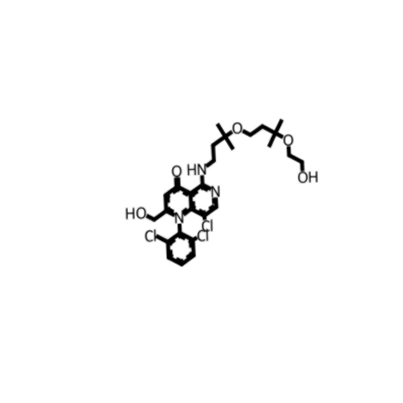 CC(C)(CCNc1ncc(Cl)c2c1c(=O)cc(CO)n2-c1c(Cl)cccc1Cl)OCCC(C)(C)OCCO